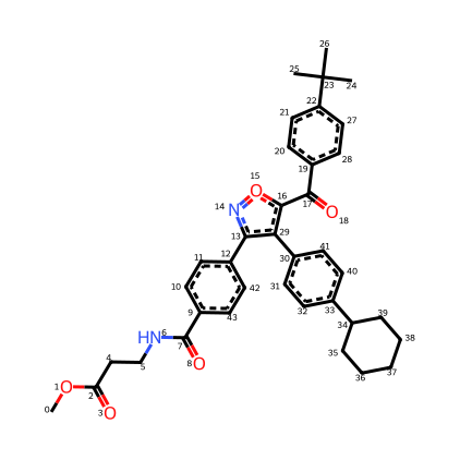 COC(=O)CCNC(=O)c1ccc(-c2noc(C(=O)c3ccc(C(C)(C)C)cc3)c2-c2ccc(C3CCCCC3)cc2)cc1